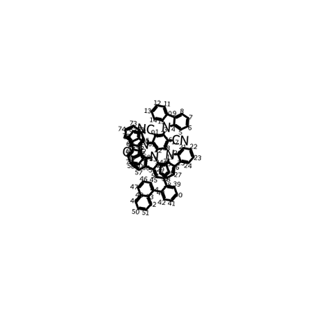 N#Cc1c(-n2c3ccccc3c3ccccc32)c(C#N)c(-n2c3ccccc3c3ccccc32)c(-n2c3ccc(-c4ccccc4-c4cccc5ccccc45)cc3c3ccc4oc5ccccc5c4c32)c1-n1c2ccccc2c2ccccc21